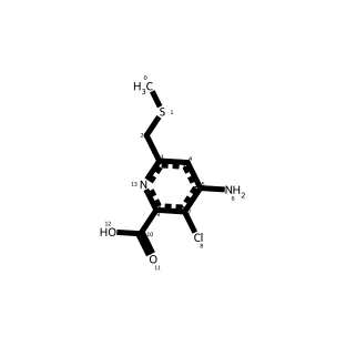 CSCc1cc(N)c(Cl)c(C(=O)O)n1